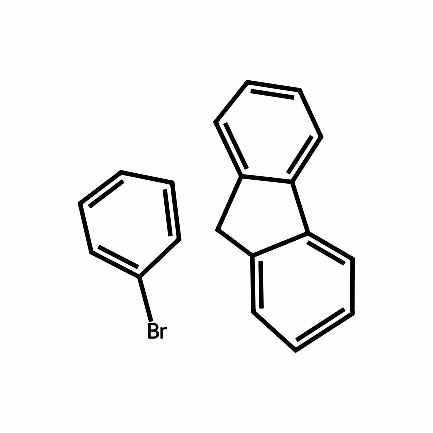 Brc1ccccc1.c1ccc2c(c1)Cc1ccccc1-2